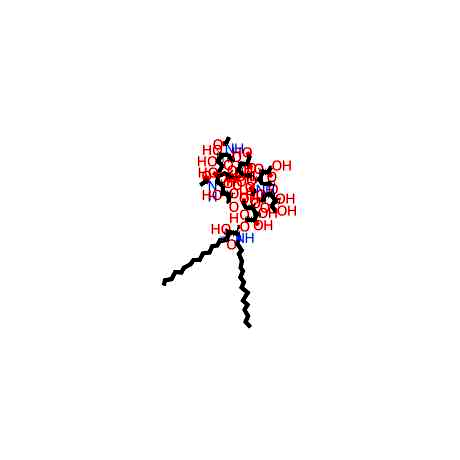 CCCCCCCCCCCCC/C=C/[C@@H](O)[C@H](CO[C@@H]1OC(CO)[C@@H](O[C@@H]2OC(CO)[C@H](O)[C@H](O[C@@H]3OC(CO)[C@@H](O)[C@H](O[C@@H]4OC(CO)[C@H](O[C@@H]5OC(CO)[C@H](O)[C@H](O)C5NC(C)=O)[C@H](O[C@]5(C(=O)O)CC(O)[C@@H](NC(C)=O)C([C@H](O)[C@H](O)CO)O5)C4O)C3NC(C)=O)C2O)[C@H](O)C1O)NC(=O)CCCCCCCCCCCCCCC